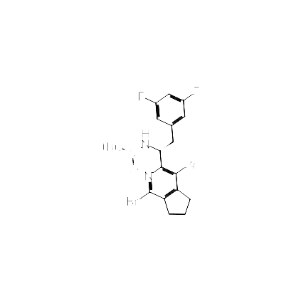 CC(C)(C)[S@+]([O-])N[C@@H](Cc1cc(F)cc(F)c1)c1nc(Br)c2c(c1Br)CCC2